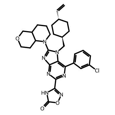 C=C[C@H]1CC[C@H](Cn2c(N3CCCC4COCCC43)nc3nc(-c4noc(=O)[nH]4)nc(-c4cccc(Cl)c4)c32)CC1